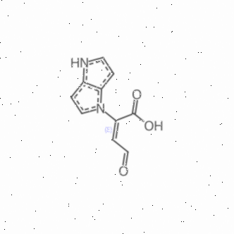 O=C/C=C(\C(=O)O)n1ccc2[nH]ccc21